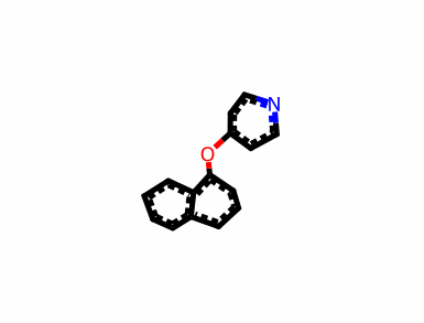 c1ccc2c(Oc3ccncc3)cccc2c1